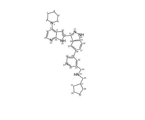 c1cc(N2CCCCC2)c2cc(-c3n[nH]c4ccc(-c5cncc(CNCC6CCCC6)c5)cc34)[nH]c2n1